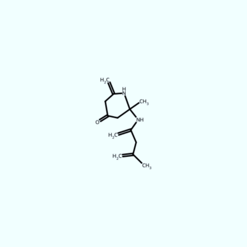 C=C(C)CC(=C)NC1(C)CC(=O)CC(=C)N1